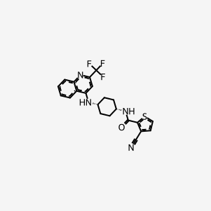 N#Cc1ccsc1C(=O)N[C@H]1CC[C@@H](Nc2cc(C(F)(F)F)nc3ccccc23)CC1